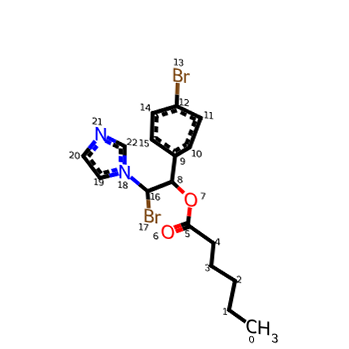 CCCCCC(=O)OC(c1ccc(Br)cc1)C(Br)n1ccnc1